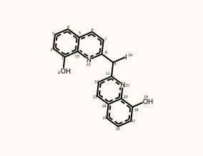 Oc1cccc2ccc(C(I)c3ccc4cccc(O)c4n3)nc12